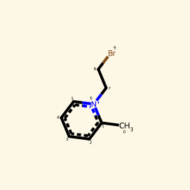 Cc1cccc[n+]1CCBr